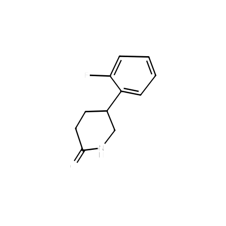 O=C1CCC(c2ccccc2F)CN1